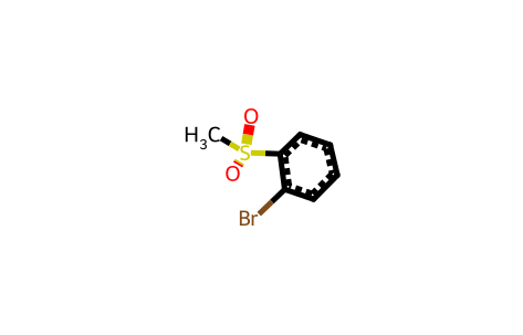 CS(=O)(=O)c1ccccc1Br